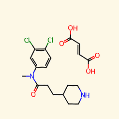 CN(C(=O)CCC1CCNCC1)c1ccc(Cl)c(Cl)c1.O=C(O)/C=C/C(=O)O